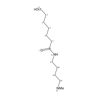 CCCCCCCCCCCCCC(=O)NCCCCNC